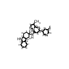 Cc1cnn2c(NC3(C)CCc4[nH]c5ccccc5c4C3)cc(-c3cncc(F)c3)nc12